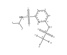 CC(C)NS(=O)(=O)c1cccc(OS(=O)(=O)C(F)(F)F)n1